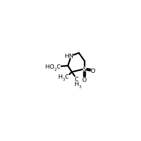 CC1(C)C(C(=O)O)NCCS1(=O)=O